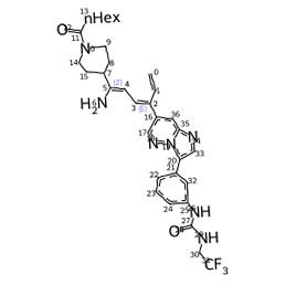 C=C/C(=C\C=C(/N)C1CCN(C(=O)CCCCCC)CC1)c1cnn2c(-c3cccc(NC(=O)NCC(F)(F)F)c3)cnc2c1